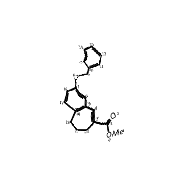 COC(=O)C1=Cc2cc(OCc3ccccc3)ccc2CCC1